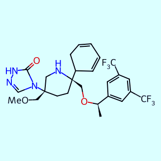 COC[C@]1(n2cn[nH]c2=O)CC[C@@](CO[C@H](C)c2cc(C(F)(F)F)cc(C(F)(F)F)c2)(C2C=CC=CC2)NC1